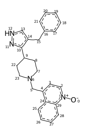 [O-][n+]1ccc(CN2CCC(c3n[nH]cc3Cc3ccccc3)CC2)c2ccccc21